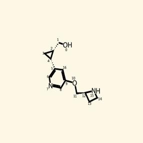 OC[C@H]1C[C@H]1c1cncc(OC[C@@H]2CCN2)c1